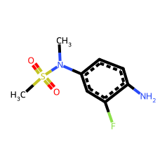 CN(c1ccc(N)c(F)c1)S(C)(=O)=O